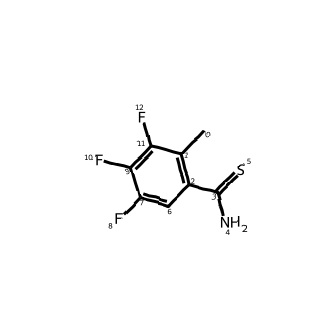 Cc1c(C(N)=S)cc(F)c(F)c1F